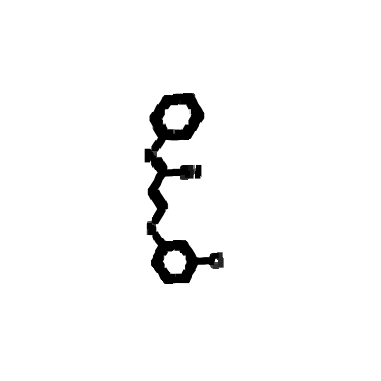 SC(C=CSc1cccc(Cl)c1)=Nc1ccccc1